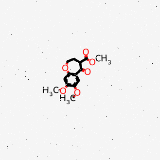 COC(=O)C1CCOc2cc(OC)c(OC)cc2C1=O